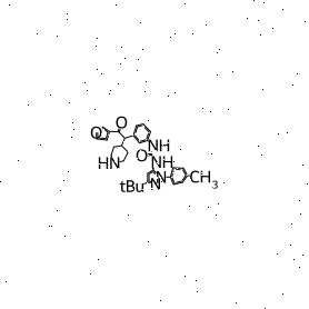 Cc1ccc(-n2nc(C(C)(C)C)cc2NC(=O)Nc2cccc(C(C(=O)c3ccoc3)C3CCNCC3)c2)cc1